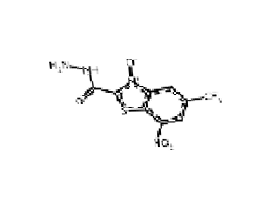 NNC(=O)c1sc2c([N+](=O)[O-])cc(C(F)(F)F)cc2[n+]1[O-]